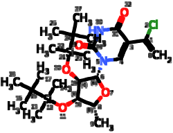 C=C(Cl)c1cn([C@@H]2O[C@H](C)[C@@H](O[Si](C)(C)C(C)(C)C)[C@H]2O[Si](C)(C)C(C)(C)C)c(=O)[nH]c1=O